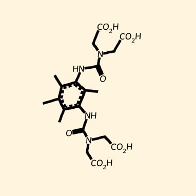 Cc1c(C)c(NC(=O)N(CC(=O)O)CC(=O)O)c(C)c(NC(=O)N(CC(=O)O)CC(=O)O)c1C